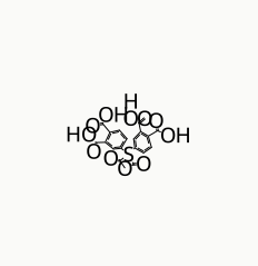 O=C(O)c1ccc(S2(c3ccc(C(=O)O)c(C(=O)O)c3)C(=O)OC2=O)cc1C(=O)O